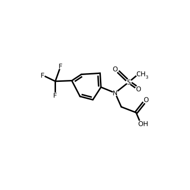 CS(=O)(=O)N(CC(=O)O)c1ccc(C(F)(F)F)cc1